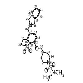 CN(C)S(=O)(=O)N1CCC(COc2ccc(CN3Cc4ccccc4C3)c3c2S(=O)(=O)CC3)CC1